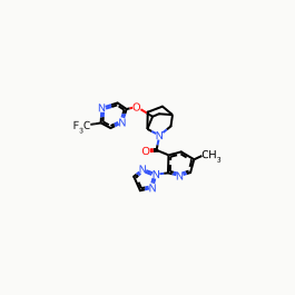 Cc1cnc(-n2nccn2)c(C(=O)N2CC3CCC2C(Oc2cnc(C(F)(F)F)cn2)C3)c1